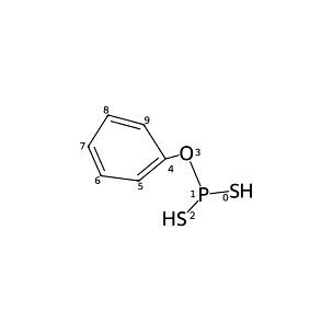 SP(S)Oc1ccccc1